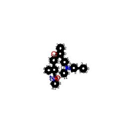 c1ccc(-c2ccc(N(c3ccccc3)c3ccc(-c4cc5ccccc5c5oc6ccc(-c7ccc(-c8nc9ccccc9o8)c8ccccc78)cc6c45)cc3)cc2)cc1